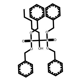 [CH2]CCCCC(O)(P(=O)(OCc1ccccc1)OCc1ccccc1)P(=O)(OCc1ccccc1)OCc1ccccc1